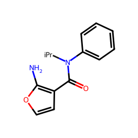 CC(C)N(C(=O)c1ccoc1N)c1ccccc1